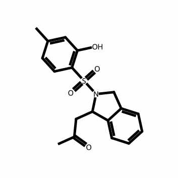 CC(=O)CC1c2ccccc2CN1S(=O)(=O)c1ccc(C)cc1O